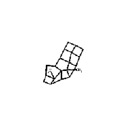 CC12C3CC1C1C4C5C6CC7CC8C9C(C3)C12C4(C)C59C768